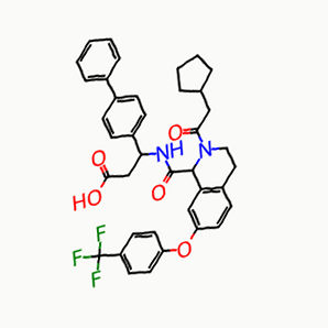 O=C(O)CC(NC(=O)C1c2cc(Oc3ccc(C(F)(F)F)cc3)ccc2CCN1C(=O)CC1CCCC1)c1ccc(-c2ccccc2)cc1